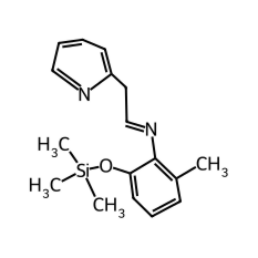 Cc1cccc(O[Si](C)(C)C)c1N=CCc1ccccn1